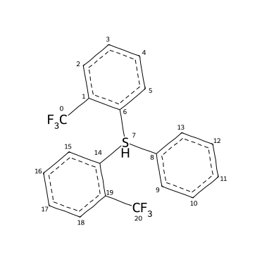 FC(F)(F)c1ccccc1[SH](c1ccccc1)c1ccccc1C(F)(F)F